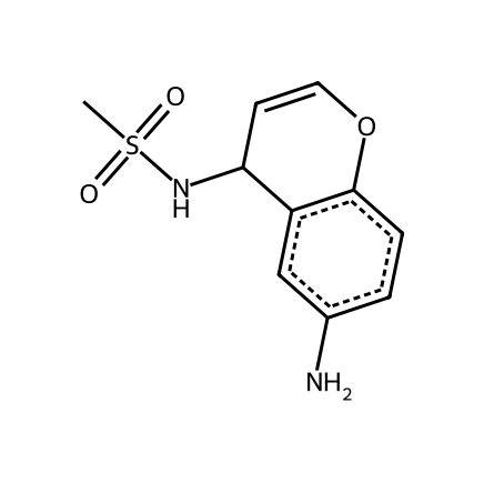 CS(=O)(=O)NC1C=COc2ccc(N)cc21